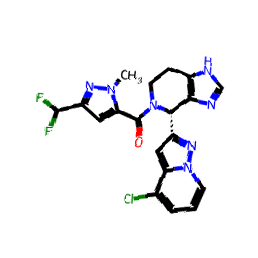 Cn1nc(C(F)F)cc1C(=O)N1CCc2[nH]cnc2[C@@H]1c1cc2c(Cl)cccn2n1